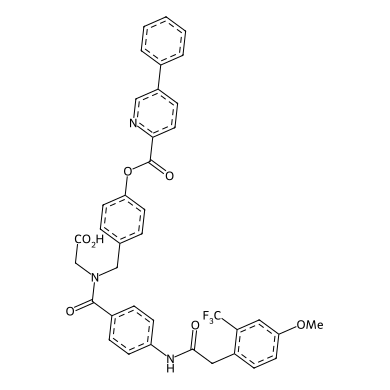 COc1ccc(CC(=O)Nc2ccc(C(=O)N(CC(=O)O)Cc3ccc(OC(=O)c4ccc(-c5ccccc5)cn4)cc3)cc2)c(C(F)(F)F)c1